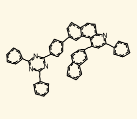 c1ccc(-c2cc(-c3ccc4ccccc4c3)c3c(ccc4ccc(-c5ccc(-c6nc(-c7ccccc7)nc(-c7ccccc7)n6)cc5)cc43)n2)cc1